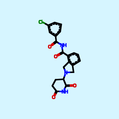 O=C1CCC(N2Cc3cccc(C(=O)NC(=O)c4cccc(Cl)c4)c3C2)C(=O)N1